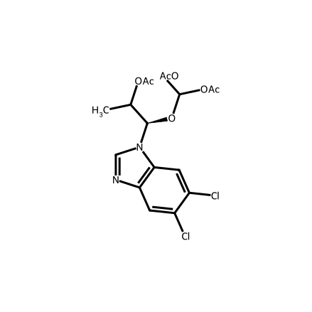 CC(=O)OC(OC(C)=O)O[C@H](C(C)OC(C)=O)n1cnc2cc(Cl)c(Cl)cc21